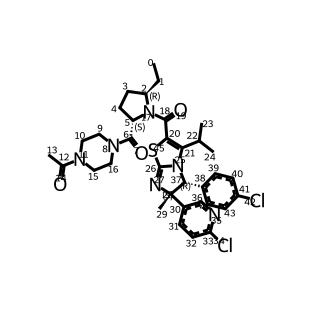 CC[C@@H]1CC[C@@H](C(=O)N2CCN(C(C)=O)CC2)N1C(=O)C1=C(C(C)C)N2C(=N[C@@](C)(c3ccc(Cl)nc3)[C@H]2c2ccc(Cl)cc2)S1